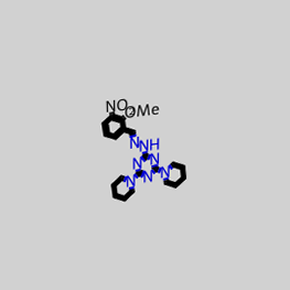 COc1c(C=NNc2nc(N3CCCCC3)nc(N3CCCCC3)n2)cccc1[N+](=O)[O-]